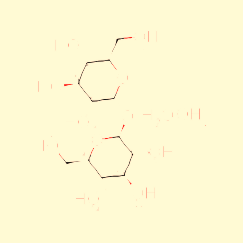 O.O.OC[C@H]1O[C@@H](O[C@H]2O[C@H](CO)[C@@H](O)[C@H](O)[C@H]2O)[C@H](O)[C@@H](O)[C@@H]1O